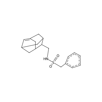 O=S(=O)(Cc1ccccc1)NCC1C2CC3=CC(C2)CC1C3